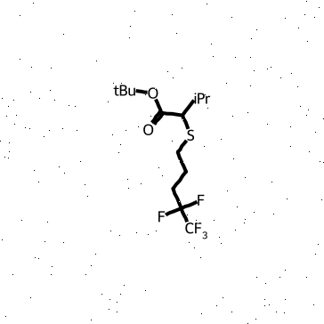 CC(C)C(SCCCC(F)(F)C(F)(F)F)C(=O)OC(C)(C)C